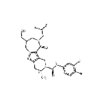 C[C@@H]1Cc2nn3c(c2CN1C(=O)Nc1ccc(F)c(Cl)c1)C(=O)N(CC(F)F)CC(CO)C3